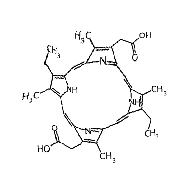 CCc1c(C)c2cc3nc(cc4[nH]c(cc5nc(cc1[nH]2)C(C)=C5CC(=O)O)c(C)c4CC)C(C)=C3CC(=O)O